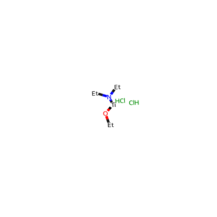 CC[O][Ti][N](CC)CC.Cl.Cl